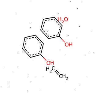 C=C.O.Oc1ccccc1.Oc1ccccc1